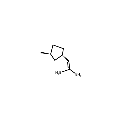 BC(B)=C[C@@H]1CC[C@H](C)C1